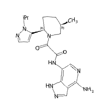 CC(C)n1nccc1[C@H]1CC[C@@H](C)CN1C(=O)C(=O)Nc1cnc(N)c2cn[nH]c12